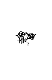 CC1CO[Si](CCCN)(OCC(C)CO[Si]2(CCCN)OCC(C)CO2)OC1